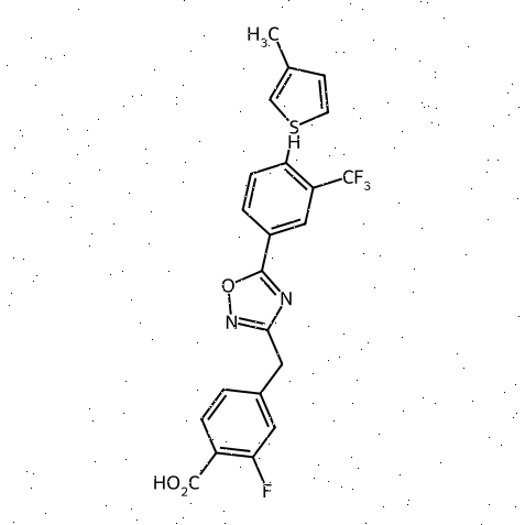 CC1=C[SH](c2ccc(-c3nc(Cc4ccc(C(=O)O)c(F)c4)no3)cc2C(F)(F)F)C=C1